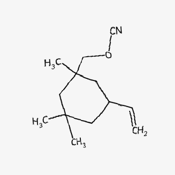 C=CC1CC(C)(C)CC(C)(COC#N)C1